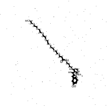 N=C(c1cc2cc(O)ccc2[nH]1)c1c(N)ncnc1NCCCCNC(=O)CCOCCOCCOCCOCCOCCOCCOCCO